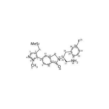 CSCc1cnn(C)c1-c1ccc2c(c1)CN([C@H](CN)Cc1cccc(F)c1)C2=O